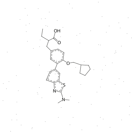 CCC(Cc1ccc(OCC2CCCC2)c(-c2ccc3nc(N(C)C)sc3c2)c1)C(=O)O